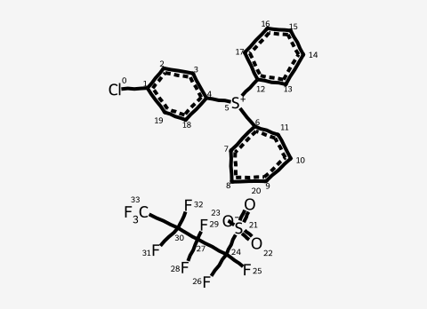 Clc1ccc([S+](c2ccccc2)c2ccccc2)cc1.O=S(=O)([O-])C(F)(F)C(F)(F)C(F)(F)C(F)(F)F